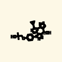 CC(C)(O)COc1ccc(-n2cc([C@H](O)c3csnc3-n3ccnc3C3CC3)nn2)cc1